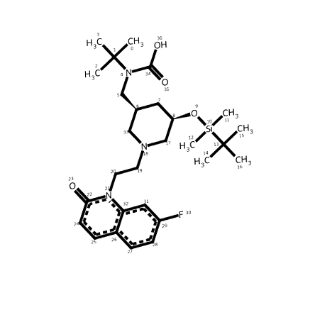 CC(C)(C)N(C[C@H]1C[C@@H](O[Si](C)(C)C(C)(C)C)CN(CCn2c(=O)ccc3ccc(F)cc32)C1)C(=O)O